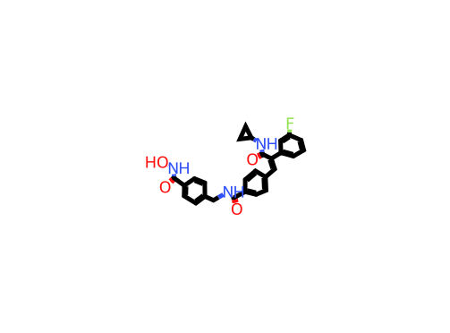 O=C(NC1CC1)/C(=C\c1ccc(C(=O)NCc2ccc(C(=O)NO)cc2)cc1)c1cccc(F)c1